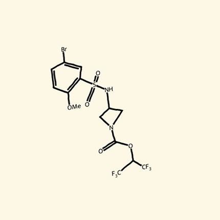 COc1ccc(Br)cc1S(=O)(=O)NC1CN(C(=O)OC(C(F)(F)F)C(F)(F)F)C1